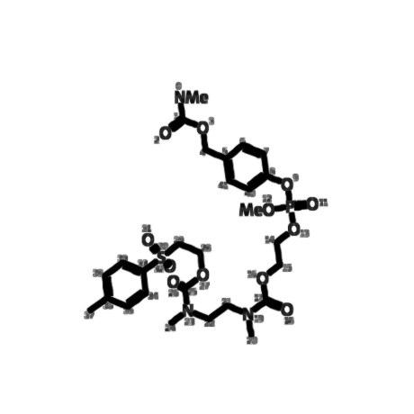 CNC(=O)OCc1ccc(OP(=O)(OC)OCCOC(=O)N(C)CCN(C)C(=O)OCCS(=O)(=O)c2ccc(C)cc2)cc1